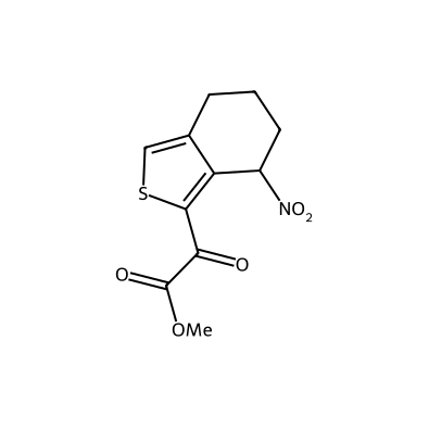 COC(=O)C(=O)c1scc2c1C([N+](=O)[O-])CCC2